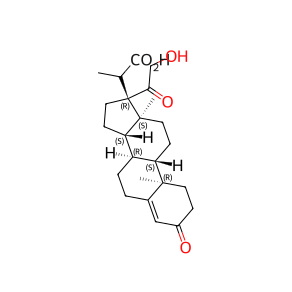 CC(C(=O)O)[C@]1(C(=O)CO)CC[C@H]2[C@@H]3CCC4=CC(=O)CC[C@]4(C)[C@H]3CC[C@@]21C